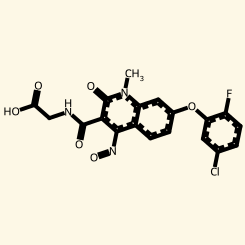 Cn1c(=O)c(C(=O)NCC(=O)O)c(N=O)c2ccc(Oc3cc(Cl)ccc3F)cc21